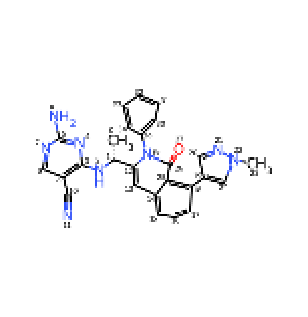 C[C@@H](Nc1nc(N)ncc1C#N)c1cc2cccc(-c3cnn(C)c3)c2c(=O)n1-c1ccccc1